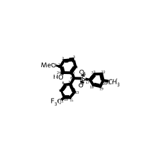 COc1cccc(C(c2ccc(C(F)(F)F)cc2)S(=O)(=O)c2ccc(C)cc2)c1O